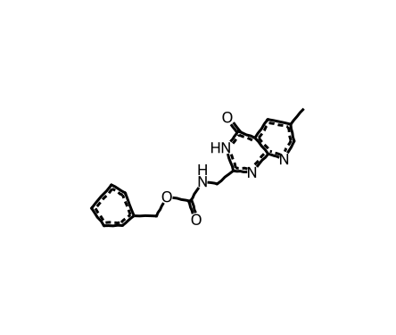 Cc1cnc2nc(CNC(=O)OCc3ccccc3)[nH]c(=O)c2c1